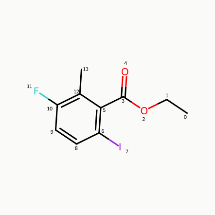 CCOC(=O)c1c(I)ccc(F)c1C